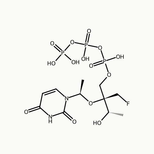 C[C@H](O)[C@@](CF)(COP(=O)(O)OP(=O)(O)OP(=O)(O)O)O[C@H](C)n1ccc(=O)[nH]c1=O